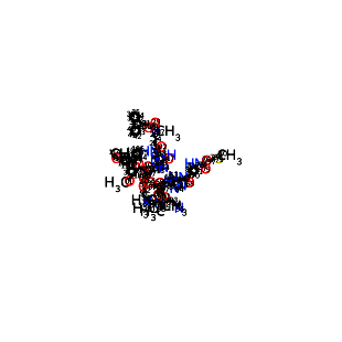 COc1ccc(C(OC[C@H]2O[C@@H](n3cnc4c(=O)[nH]c(NC(=O)CCCN(C)C(=O)OCC5c6ccccc6-c6ccccc65)nc43)C[C@H]2OP(OCCC#N)OC[C@H]2O[C@@H](n3cnc4c(NC(=O)c5ccc(NC(=O)OCCSC)cc5)ncnc43)C[C@H]2OP(OCCC#N)N(C(C)C)C(C)C)(c2ccccc2)c2ccc(OC)cc2)cc1